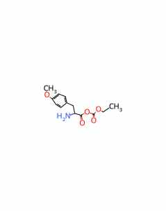 CCOC(=O)OC(=O)[C@@H](N)Cc1ccc(OC)cc1